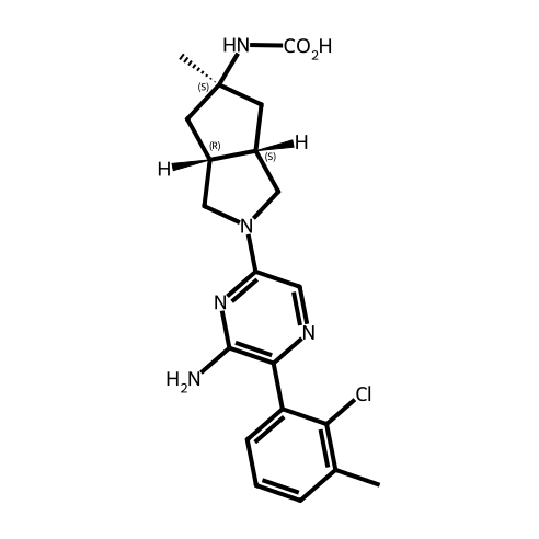 Cc1cccc(-c2ncc(N3C[C@@H]4C[C@@](C)(NC(=O)O)C[C@@H]4C3)nc2N)c1Cl